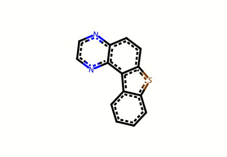 c1ccc2c(c1)sc1ccc3nccnc3c12